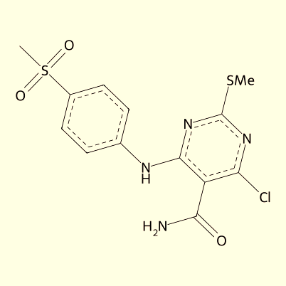 CSc1nc(Cl)c(C(N)=O)c(Nc2ccc(S(C)(=O)=O)cc2)n1